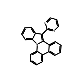 c1cnc(-c2c3ccccc3n3c4ccccc4c4ccccc4c23)nc1